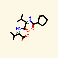 CC(C)[C@H](NC(=O)[C@@H](NC(=O)C1CCCCC1)C(C)C)C(=O)O